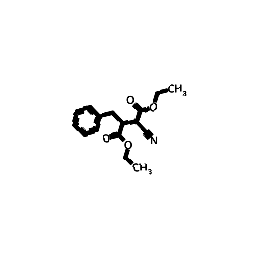 CCOC(=O)C(C#N)C(Cc1ccccc1)C(=O)OCC